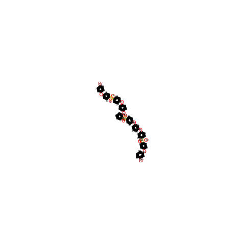 O=S(=O)(c1ccc(Oc2ccc(Br)cc2)cc1)c1ccc(Oc2ccc(Oc3ccccc3S(=O)(=O)c3ccc(Oc4cccc(Oc5ccc(S(=O)(=O)c6ccc(Oc7cccc(Br)c7)cc6)cc5)c4)cc3)cc2)cc1